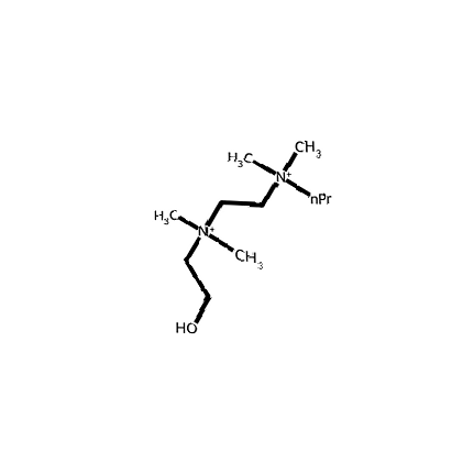 CCC[N+](C)(C)CC[N+](C)(C)CCO